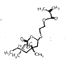 C=C(C)C(=O)OCCSC(CC(C)(C)C[N+](C)(C)CC)OC(C)=O